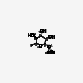 CCCCO[C@@H]1OC(C)[C@@H](O)[C@H](O)C1O